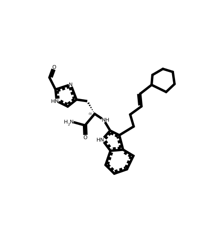 NC(=O)[C@H](Cc1c[nH]c(C=O)n1)Nc1[nH]c2ccccc2c1CCC=CC1CCCCC1